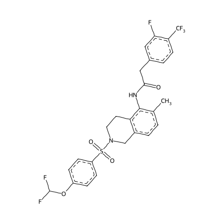 Cc1ccc2c(c1NC(=O)Cc1ccc(C(F)(F)F)c(F)c1)CCN(S(=O)(=O)c1ccc(OC(F)F)cc1)C2